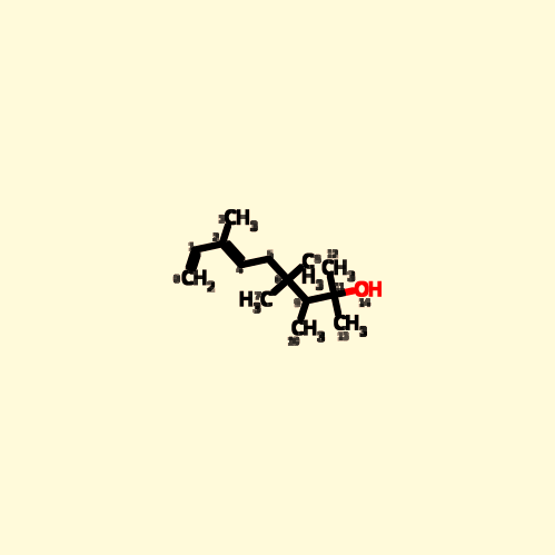 C=CC(C)=CCC(C)(C)C(C)C(C)(C)O